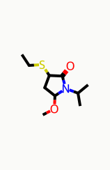 CCSC1CC(OC)N(C(C)C)C1=O